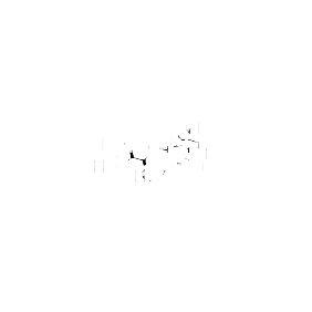 C=C(C)C(=O)OC(O[Si](C)(C)C)[SiH](C)C